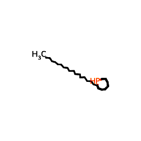 CCCCCCCCCCCCCCCCCCc1ccccccc[pH]1